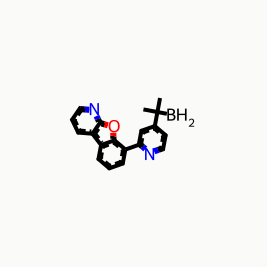 BC(C)(C)c1ccnc(-c2cccc3c2oc2ncccc23)c1